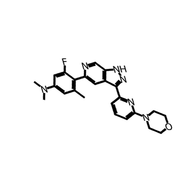 Cc1cc(N(C)C)cc(F)c1-c1cc2c(-c3cccc(N4CCOCC4)n3)n[nH]c2cn1